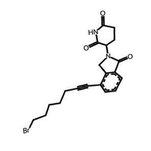 O=C1CCC(N2Cc3c(C#CCCCCCBr)cccc3C2=O)C(=O)N1